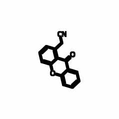 N#CCc1cccc2oc3ccccc3c(=O)c12